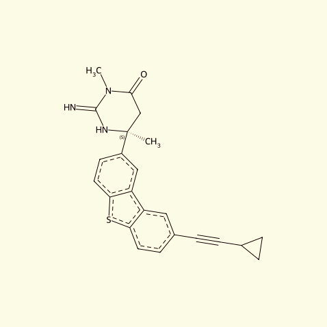 CN1C(=N)N[C@](C)(c2ccc3sc4ccc(C#CC5CC5)cc4c3c2)CC1=O